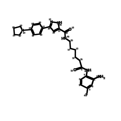 Nc1cc(F)ccc1NC(=O)CCCCCNC(=O)c1cc(-c2ccc(N3CCCC3)cc2)n[nH]1